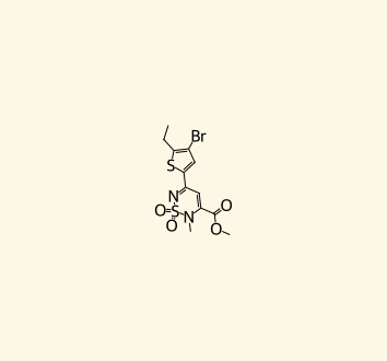 CCc1sc(C2=NS(=O)(=O)N(C)C(C(=O)OC)=C2)cc1Br